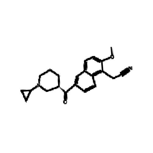 COc1ccc2cc(C(=O)[C@H]3CCCN(C4CC4)C3)ccc2c1CC#N